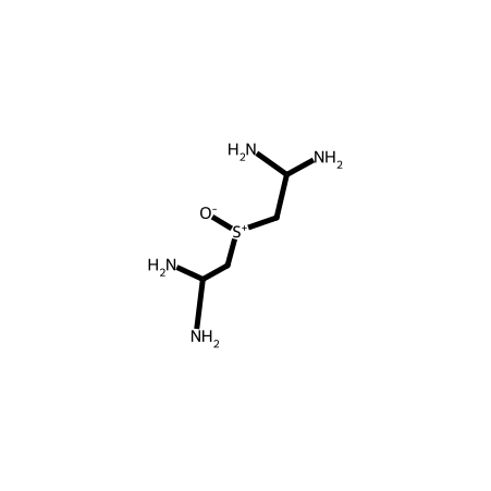 NC(N)C[S+]([O-])CC(N)N